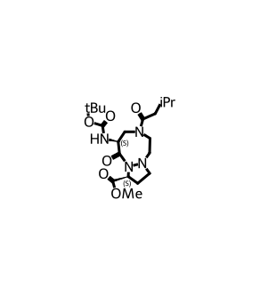 COC(=O)[C@@H]1CCN2CCN(C(=O)CC(C)C)C[C@H](NC(=O)OC(C)(C)C)C(=O)N12